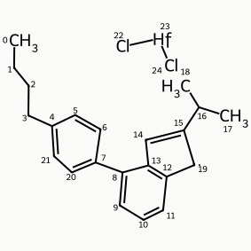 CCCCc1ccc(-c2cccc3c2C=C(C(C)C)[CH]3)cc1.[Cl][Hf][Cl]